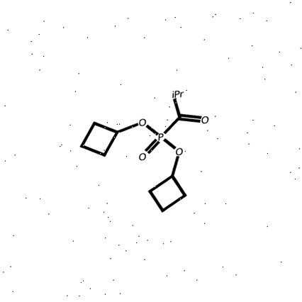 CC(C)C(=O)P(=O)(OC1CCC1)OC1CCC1